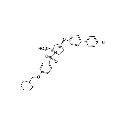 O=C(O)[C@H]1C[C@@H](Oc2ccc(-c3ccc(Cl)cc3)cc2)CCN1S(=O)(=O)c1ccc(OCC2CCCCC2)cc1